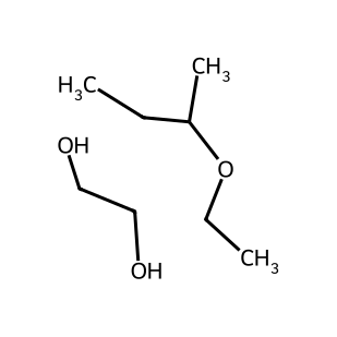 CCOC(C)CC.OCCO